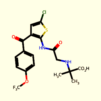 CC(C)(NCC(=O)Nc1sc(Cl)cc1C(=O)c1ccc(OC(F)(F)F)cc1)C(=O)O